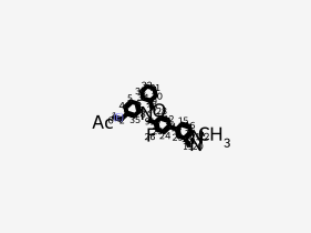 CC(=O)/C=C/c1cccc(N(Cc2ccc(-c3ccc4c(cnn4C)c3)cc2F)C(=O)C2CCCCC2)c1